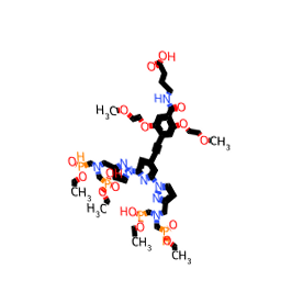 CCOP(O)CN(Cc1ccn(-c2cc(C#Cc3cc(OCCOC)c(C(=O)NCCCC(=O)O)cc3OCCOC)cc(-n3ccc(CN(C[PH](=O)OCC)CP(=O)(O)OCC)n3)n2)n1)C[PH](=O)OCC